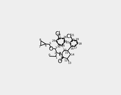 CC[C@@H](COCC1CC1)N1C(=O)C(C)CC(c2cccc(Cl)c2)[C@H]1c1ccc(Cl)cc1